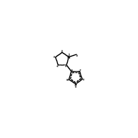 CN1CCCC1c1ccsc1